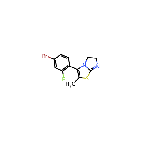 CC1=C(c2ccc(Br)cc2F)N2CCN=C2S1